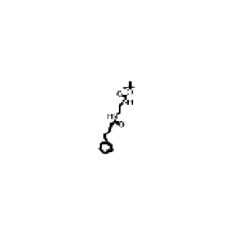 CC(C)(C)OC(=O)NCCNC(=O)CCCc1ccccc1